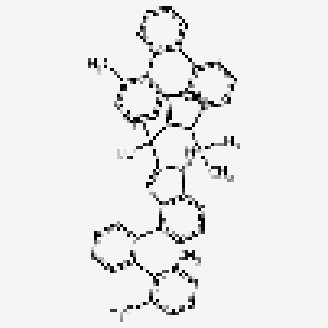 Cc1cccc(C)c1-c1ccccc1-c1cccc2c1C=C1[CH]2[Hf]([CH3])([CH3])[CH]2C(=Cc3c(-c4ccccc4-c4c(C)cccc4C)cccc32)C1(C)C